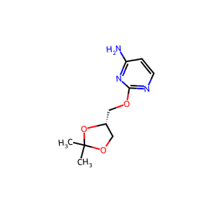 CC1(C)OC[C@@H](COc2nccc(N)n2)O1